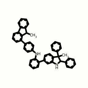 CC1c2ccccc2-c2cccc(-c3ccc(Nc4ccccc4-c4ccc5c(c4)NC(c4ccccc4)C5(C)c4ccccc4)cc3)c21